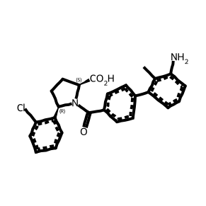 Cc1c(N)cccc1-c1ccc(C(=O)N2[C@@H](c3ccccc3Cl)CC[C@H]2C(=O)O)cc1